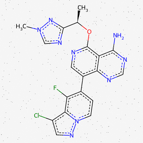 C[C@@H](Oc1ncc(-c2ccn3ncc(Cl)c3c2F)c2ncnc(N)c12)c1ncn(C)n1